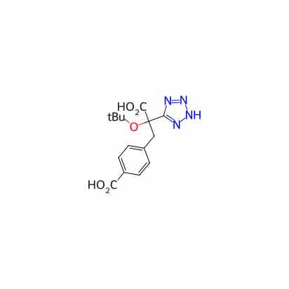 CC(C)(C)OC(Cc1ccc(C(=O)O)cc1)(C(=O)O)c1nn[nH]n1